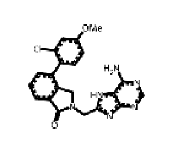 COc1ccc(-c2cccc3c2CN(Cc2nc4ncnc(N)c4[nH]2)C3=O)c(Cl)c1